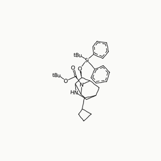 CC(C)(C)OC(=O)N1C2CC3CC1[C@H](O[Si](c1ccccc1)(c1ccccc1)C(C)(C)C)C2NC3C1CCC1